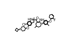 Cc1cc(N2CCC(C)CC(C(=O)C3(C)Cc4cc(OC5CCN(C6CCC6)CC5)c(Cl)cc4N3)=C2N)ccc1OC1=C(F)C=CCC1